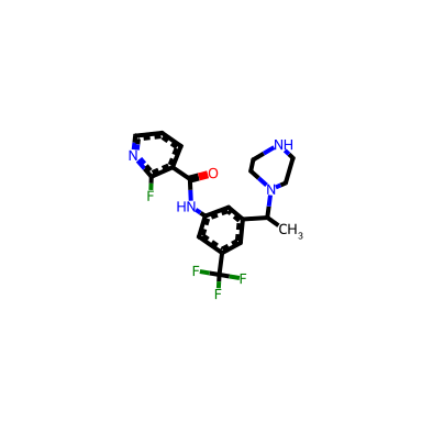 CC(c1cc(NC(=O)c2cccnc2F)cc(C(F)(F)F)c1)N1CCNCC1